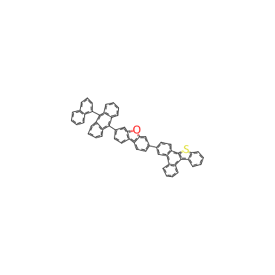 c1ccc2c(-c3c4ccccc4c(-c4ccc5c(c4)oc4cc(-c6ccc7c(c6)c6ccccc6c6c8ccccc8sc76)ccc45)c4ccccc34)cccc2c1